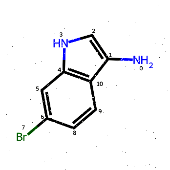 Nc1c[nH]c2cc(Br)ccc12